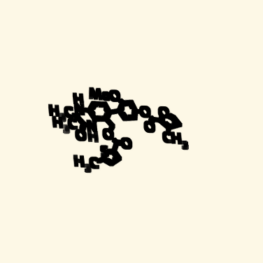 COc1cc(OC(=O)c2occc2C)ccc1-c1ccc2c(c1COC(=O)c1ccc(C)s1)NC(=O)C(C)(C)N2